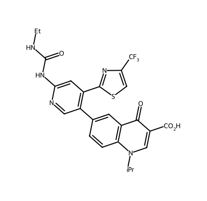 CCNC(=O)Nc1cc(-c2nc(C(F)(F)F)cs2)c(-c2ccc3c(c2)c(=O)c(C(=O)O)cn3C(C)C)cn1